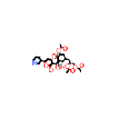 CC(=O)OC[C@H](CC1C[C@@H]2[C@@H](O)c3c(cc(-c4cccnc4)oc3=O)O[C@@]2(C)[C@H](OC(C)=O)C1)OC(C)=O